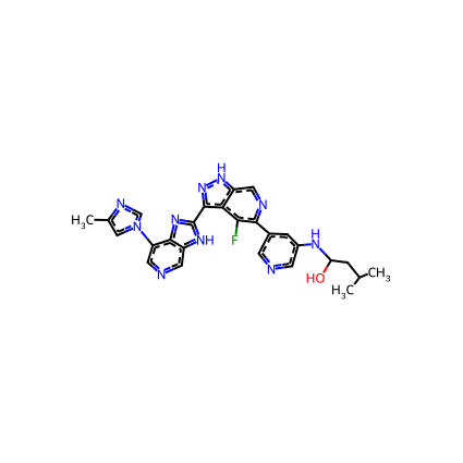 Cc1cn(-c2cncc3[nH]c(-c4n[nH]c5cnc(-c6cncc(NC(O)CC(C)C)c6)c(F)c45)nc23)cn1